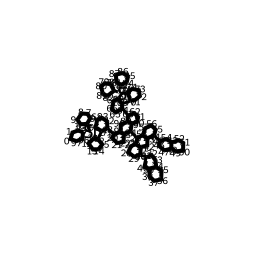 c1ccc([Si]2(c3ccccc3)c3ccccc3-c3c(-c4cccc5c(-c6c7cccc(-c8ccc9ccccc9c8)c7cc7c(-c8ccc9ccccc9c8)cccc67)c6cccc(-c7cccc8c7-c7ccccc7[Si]8(c7ccccc7)c7ccccc7)c6cc45)cccc32)cc1